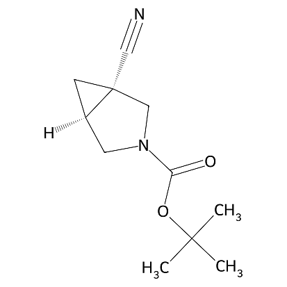 CC(C)(C)OC(=O)N1C[C@H]2C[C@@]2(C#N)C1